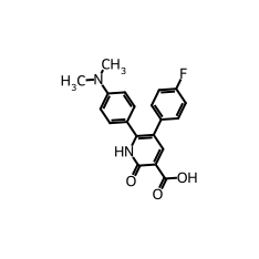 CN(C)c1ccc(-c2[nH]c(=O)c(C(=O)O)cc2-c2ccc(F)cc2)cc1